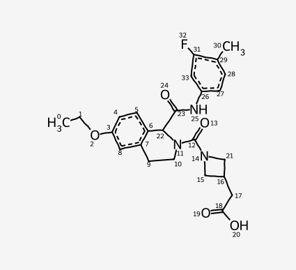 CCOc1ccc2c(c1)CCN(C(=O)N1CC(CC(=O)O)C1)C2C(=O)Nc1ccc(C)c(F)c1